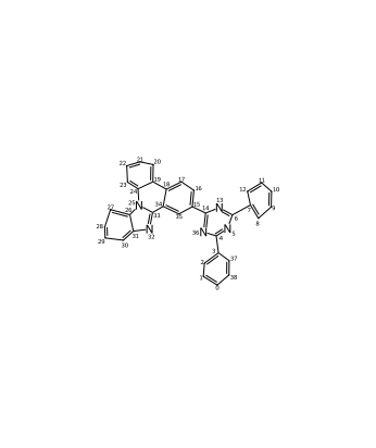 c1ccc(-c2nc(-c3ccccc3)nc(-c3ccc4c5ccccc5n5c6ccccc6nc5c4c3)n2)cc1